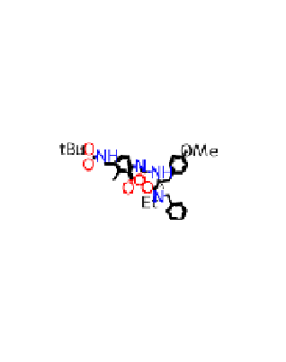 CCN(Cc1ccccc1)C(=O)[C@H](Cc1ccc(OC)cc1)Nc1nc2ccc(CNC(=O)OC(C)(C)C)c(C)c2c(=O)o1